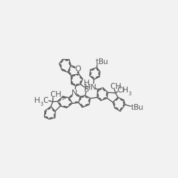 CC(C)(C)c1ccc(Nc2cc3c(cc2-c2ccc4c5cc6c(cc5n5c4c2Bc2cc4oc7ccccc7c4cc2-5)C(C)(C)c2ccccc2-6)-c2ccc(C(C)(C)C)cc2C3(C)C)cc1